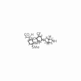 CSc1ccc(CCC(=O)O)cc1Nc1nc(N2C[C@H]3CNC[C@H]3C2)cc(C(F)(F)F)c1C#N